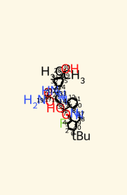 CC(C)(C)c1cc(F)c2c(=O)n(-c3cccc(-n4cc(OC(N)=O)c(Nc5ccc(C(C)(C)O)cc5)n4)c3CO)ncc2c1